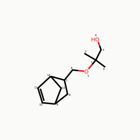 CC(C)(CO)OCC1CC2C=CC1C2